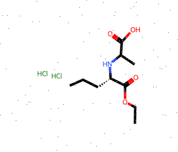 CCC[C@H](NC(C)C(=O)O)C(=O)OCC.Cl.Cl